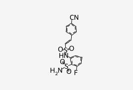 N#Cc1ccc(/C=C/S(=O)(=O)Nc2cccc(F)c2S(N)(=O)=O)cc1